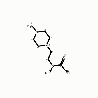 CN1CCN(CCN(C)C(N)=O)CC1